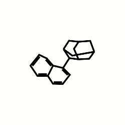 c1ccc2c(C3C4CC5CC(C4)CC3C5)cccc2c1